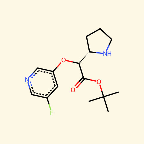 CC(C)(C)OC(=O)C(Oc1cncc(F)c1)[C@@H]1CCCN1